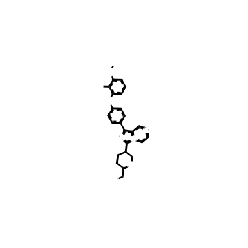 COc1cccc(Oc2ccc(-c3nc(C4CCC(CO)OC4)n4ccncc34)cc2)c1F